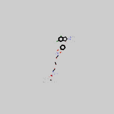 CN(C)[C@@H]1Cc2c(Cl)cc(Cl)cc2[C@@H]1Oc1ccc(S(=O)(=O)NCCOCCOCCNC(=O)OC(C)(C)C)cc1